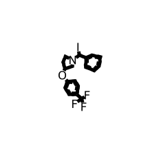 FC(F)(F)c1ccc(OC2CCN(C(I)c3ccccc3)C2)cc1